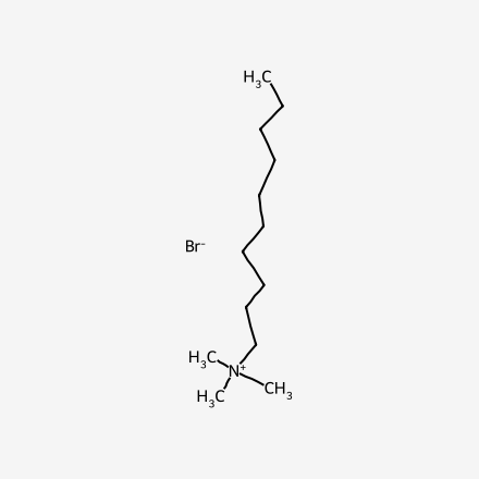 CCCCCCCCCC[N+](C)(C)C.[Br-]